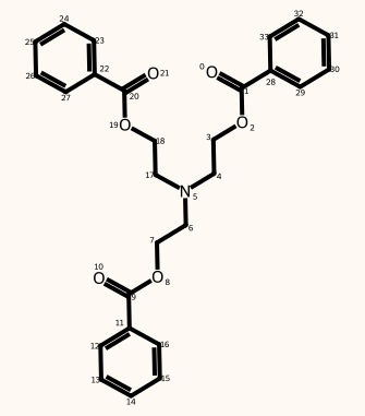 O=C(OCCN(CCOC(=O)c1ccccc1)CCOC(=O)c1ccccc1)c1ccccc1